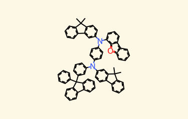 CC1(C)c2ccccc2-c2cc(N(c3ccc(N(c4cccc(C5(c6ccccc6)c6ccccc6-c6ccccc65)c4)c4ccc5c(c4)C(C)(C)c4ccccc4-5)cc3)c3cccc4c3oc3ccccc34)ccc21